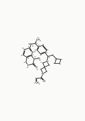 C=CC(=O)N1CC2(C1)CN(C(CC1CCC1)c1ccc(C(C)Nc3ncc4c(n3)N(CC)C(=O)OC4)cc1)C2